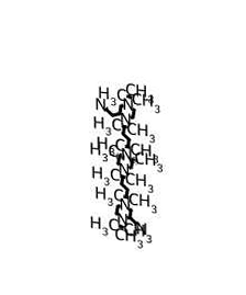 C[C@H]1CN(C(C)(C)CCC(C)(C)N2CCN(C(C)(C)C)C(C#N)C2)C[C@H](C)N1C(C)(C)CCC(C)(C)N1CCN(C(C)(C)C)CC1CC#N